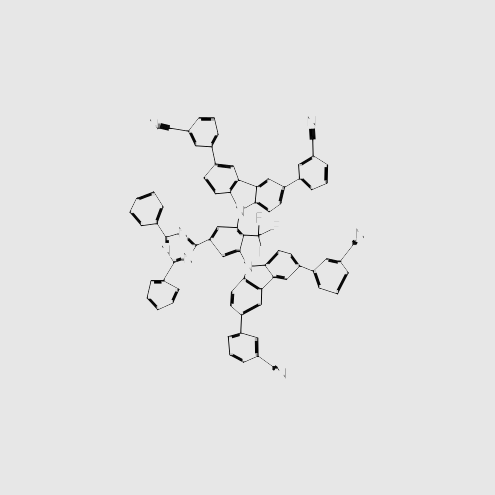 N#Cc1cccc(-c2ccc3c(c2)c2cc(-c4cccc(C#N)c4)ccc2n3-c2cc(-c3nc(-c4ccccc4)nc(-c4ccccc4)n3)cc(-n3c4ccc(-c5cccc(C#N)c5)cc4c4cc(-c5cccc(C#N)c5)ccc43)c2C(F)(F)F)c1